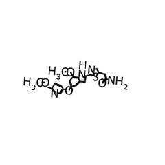 COCc1ccc(Oc2cc(OC)c3[nH]c(C4=NCC(CC(N)=O)S4)cc3c2)cn1